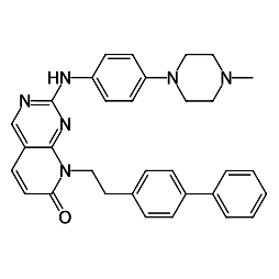 CN1CCN(c2ccc(Nc3ncc4ccc(=O)n(CCc5ccc(-c6ccccc6)cc5)c4n3)cc2)CC1